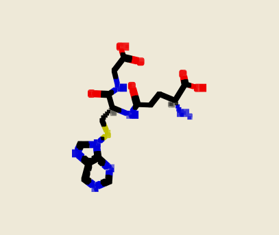 N[C@H](CCC(=O)N[C@H](CSn1cnc2cncnc21)C(=O)NCC(=O)O)C(=O)O